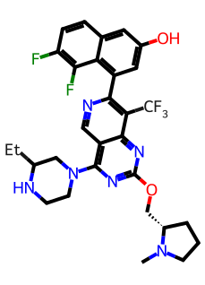 CCC1CN(c2nc(OC[C@@H]3CCCN3C)nc3c(C(F)(F)F)c(-c4cc(O)cc5ccc(F)c(F)c45)ncc23)CCN1